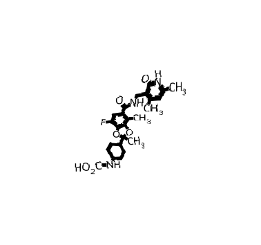 Cc1cc(C)c(CNC(=O)c2cc(F)c3c(c2C)OC(C)(C2CCC(NC(=O)O)CC2)O3)c(=O)[nH]1